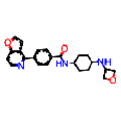 O=C(N[C@H]1CC[C@H](NC2COC2)CC1)c1ccc(-c2nccc3occc23)cc1